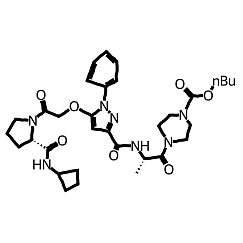 CCCCOC(=O)N1CCN(C(=O)[C@H](C)NC(=O)c2cc(OCC(=O)N3CCC[C@H]3C(=O)NC3CCC3)n(-c3ccccc3)n2)CC1